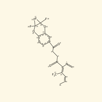 C=N/C(C(=O)CCC(=O)c1ccc2c(c1)OC(F)(F)C(F)(F)O2)=C(\C=C/C)C(F)(F)F